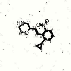 O=[N+]([O-])c1cccc(C2CC2)c1C=CC1CNCCO1